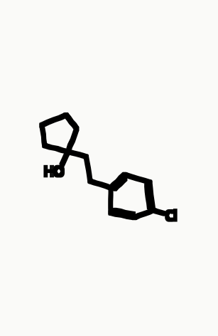 OC1(CCc2ccc(Cl)cc2)CCCC1